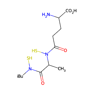 CCC(C)N(S)C(=O)C(C)N(S)C(=O)CCC(N)C(=O)O